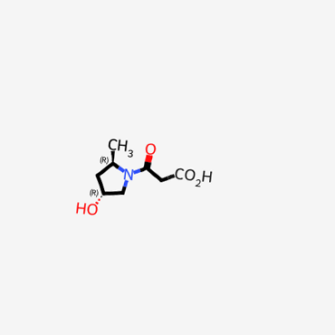 C[C@@H]1C[C@@H](O)CN1C(=O)CC(=O)O